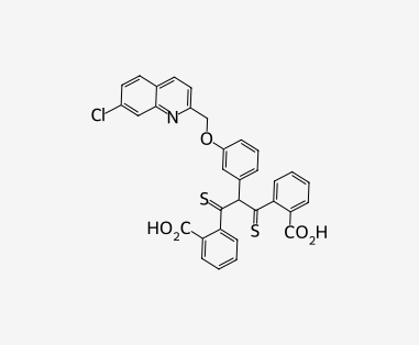 O=C(O)c1ccccc1C(=S)C(C(=S)c1ccccc1C(=O)O)c1cccc(OCc2ccc3ccc(Cl)cc3n2)c1